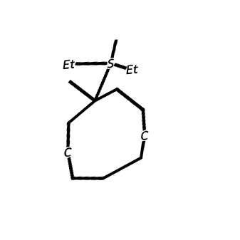 CCS(C)(CC)C1(C)CCCCCCCC1